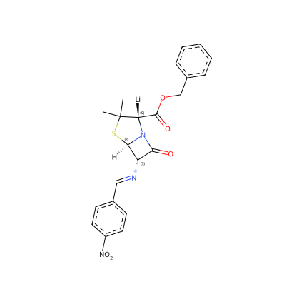 [Li][C@@]1(C(=O)OCc2ccccc2)N2C(=O)[C@H](N=Cc3ccc([N+](=O)[O-])cc3)[C@H]2SC1(C)C